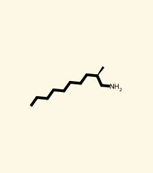 CCCCCCCC[C@@H](C)CN